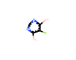 Bc1ncnc(B)c1F